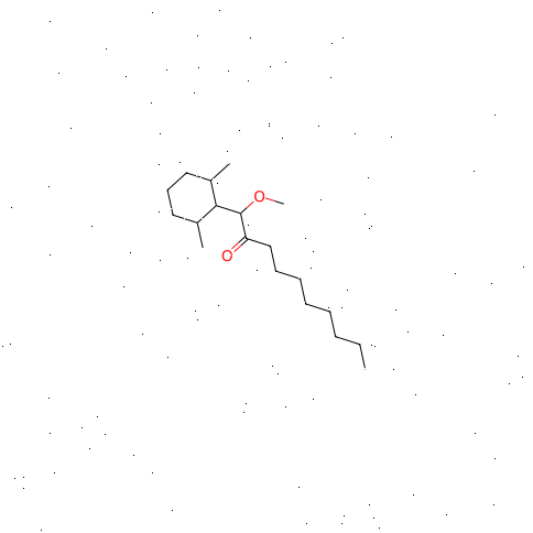 CCCCCCCCC(=O)C(OC)C1C(C)CCCC1C